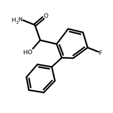 NC(=O)C(O)c1ccc(F)cc1-c1ccccc1